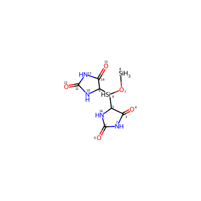 O=C1NC(=O)C([SiH](O[SiH3])C2NC(=O)NC2=O)N1